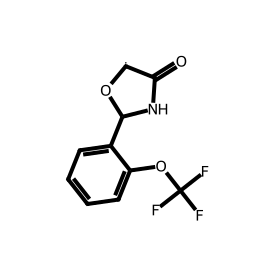 O=C1[CH]OC(c2ccccc2OC(F)(F)F)N1